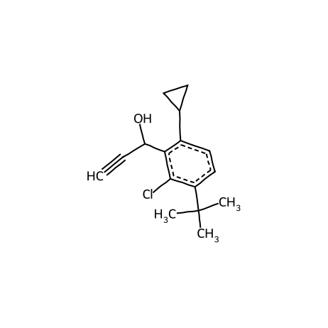 C#CC(O)c1c(C2CC2)ccc(C(C)(C)C)c1Cl